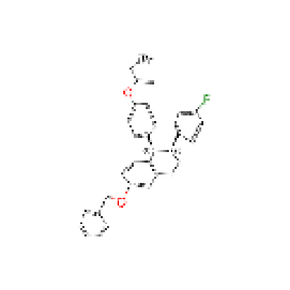 C=C(CC(C)C)Oc1ccc([C@@H]2c3ccc(OCc4ccccc4)cc3CC[C@@H]2c2ccc(F)cc2)cc1